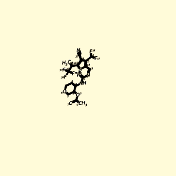 CC(=O)OC1COCCC1Nc1ncc2c(C(F)F)c(C#N)c(C(C)C(F)(F)F)n2n1